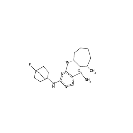 C[C@H]1CCCC[C@@H](Nc2nc(NC34CCC(F)(CC3)CC4)ncc2C(N)=O)C1